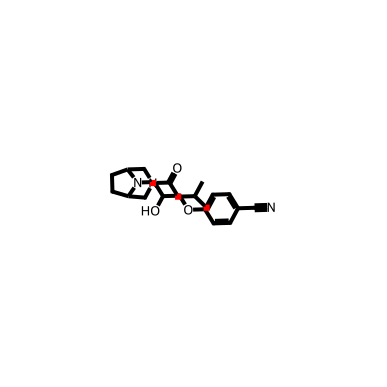 CC(C)CC(=O)N1CC2CCC(C1)N2CC(O)COc1ccc(C#N)cc1